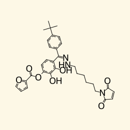 CC(C)(C)c1ccc(C(=NNCCCCCCN2C(=O)C=CC2=O)c2ccc(OC(=O)c3ccco3)c(O)c2O)cc1